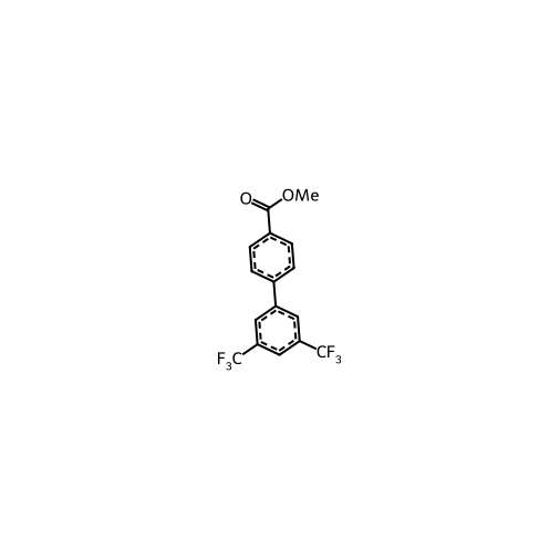 COC(=O)c1ccc(-c2cc(C(F)(F)F)cc(C(F)(F)F)c2)cc1